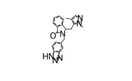 Cc1cnn(C)c1CC1c2ccccc2C(=O)N1Cc1ccc2[nH]nnc2c1